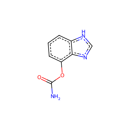 NC(=O)Oc1cccc2[nH]cnc12